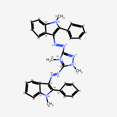 Cn1nc(N=Nc2c(-c3ccccc3)n(C)c3ccccc23)[n+](C)c1N=Nc1c(-c2ccccc2)n(C)c2ccccc12